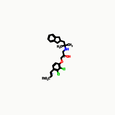 CCOC(=O)/C=C/c1ccc(OC[C@H](O)CNC(C)(C)CC2Cc3ccccc3C2)c(Cl)c1Cl